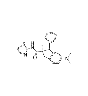 CN(C)c1ccc2c(c1)[C@H](c1ccccc1)[C@](C)(C(=O)Nc1nccs1)C2